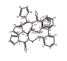 O=C(n1cccc1)P(CNc1ccccc1-c1ccccc1NCP(C(=O)n1cccc1)C(=O)n1cccc1)C(=O)n1cccc1